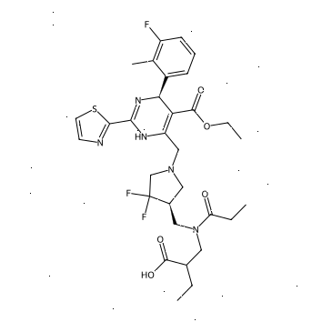 CCOC(=O)C1=C(CN2C[C@@H](CN(CC(CC)C(=O)O)C(=O)CC)C(F)(F)C2)NC(c2nccs2)=N[C@H]1c1cccc(F)c1C